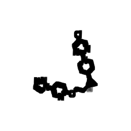 Clc1cnc(N2CCC(C3C[C@H]3CCOc3ccc(-n4ccnn4)cn3)CC2)nc1